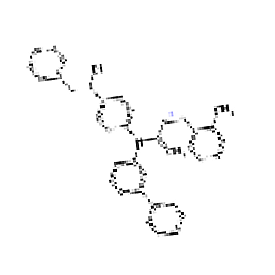 C=C(/C=C\c1ccccc1C)N(c1ccc(C(CC)Cc2ccccc2)cc1)c1cccc(-c2ccccc2)c1